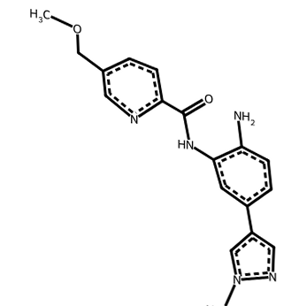 COCc1ccc(C(=O)Nc2cc(-c3cnn(C)c3)ccc2N)nc1